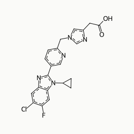 O=C(O)Cc1cn(Cc2ccc(-c3nc4cc(Cl)c(F)cc4n3C3CC3)cn2)cn1